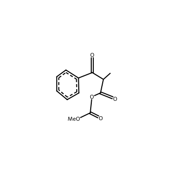 COC(=O)OC(=O)C(C)C(=O)c1ccccc1